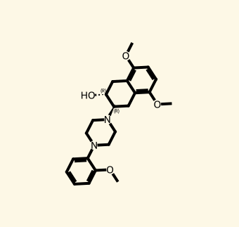 COc1ccccc1N1CCN([C@@H]2Cc3c(OC)ccc(OC)c3C[C@H]2O)CC1